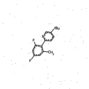 Cc1cc(F)cc(F)c1-c1ccc(C(C)(C)C)cn1